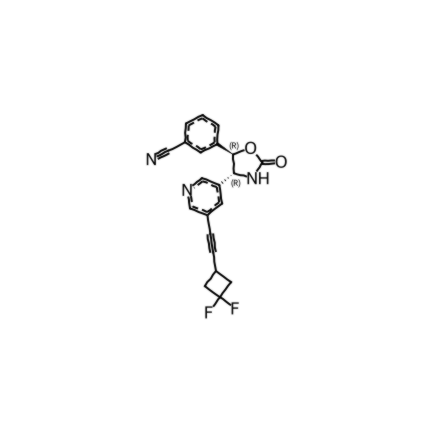 N#Cc1cccc([C@H]2OC(=O)N[C@@H]2c2cncc(C#CC3CC(F)(F)C3)c2)c1